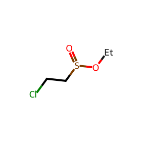 CCOS(=O)CCCl